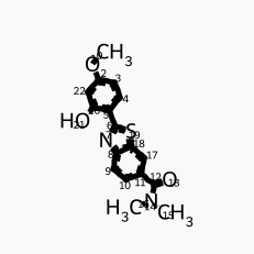 COc1ccc(-c2nc3ccc(C(=O)N(C)C)cc3s2)c(O)c1